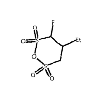 CCC1CS(=O)(=O)OS(=O)(=O)C1F